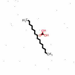 CCCCCCCCCCCCCCCC.O=C(O)O